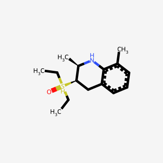 CC[SH](=O)(CC)[C@@H]1Cc2cccc(C)c2N[C@@H]1C